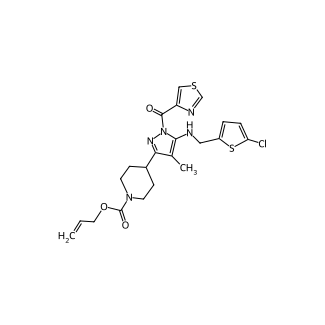 C=CCOC(=O)N1CCC(c2nn(C(=O)c3cscn3)c(NCc3ccc(Cl)s3)c2C)CC1